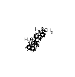 CN(C)c1ccc(F)c(-c2nccc3c(N(C)C)c(C(=O)N[C@H]4CCOc5ccccc54)cnc23)c1F